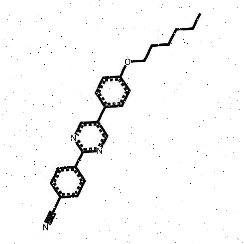 CCCCCCOc1ccc(-c2cnc(-c3ccc(C#N)cc3)nc2)cc1